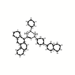 C1=C(c2c3ccccc3cc3c2ccc2ccccc23)NC(c2ccccc2)NC1c1ccc(-c2ccc3ccccc3c2)cc1